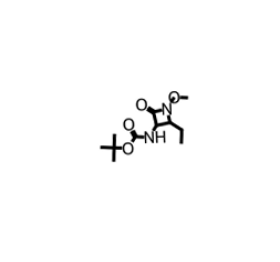 CCC1C(NC(=O)OC(C)(C)C)C(=O)N1OC